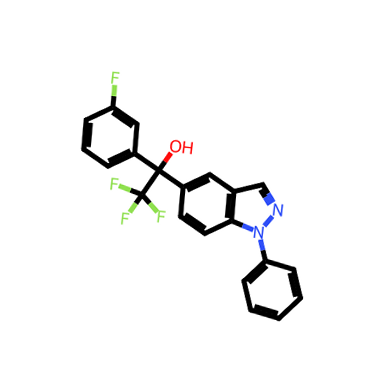 OC(c1cccc(F)c1)(c1ccc2c(cnn2-c2ccccc2)c1)C(F)(F)F